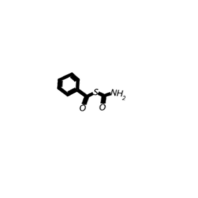 NC(=O)SC(=O)c1ccccc1